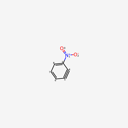 O=[N+]([O-])c1c#cccc1